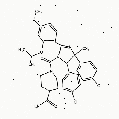 COc1ccc(C2=NC(C)(c3ccc(Cl)cc3)C(c3ccc(Cl)cc3)N2C(=O)N2CCC(C(N)=O)CC2)c(OC(C)C)c1